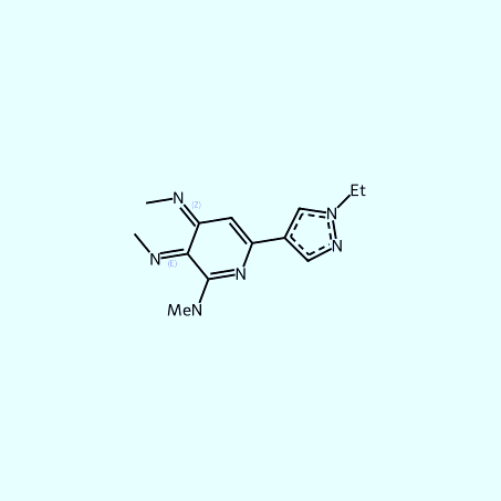 CCn1cc(C2=CC(=N/C)/C(=N\C)C(NC)=N2)cn1